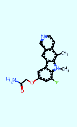 Cc1c2ccncc2cc2c3cc(OCC(N)=O)cc(F)c3n(C)c12